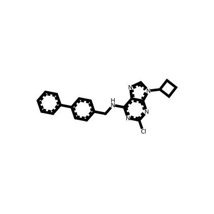 Clc1nc(NCc2ccc(-c3ccccc3)cc2)c2ncn(C3CCC3)c2n1